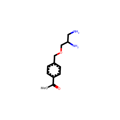 COC(=O)c1ccc(COCC(N)CN)cc1